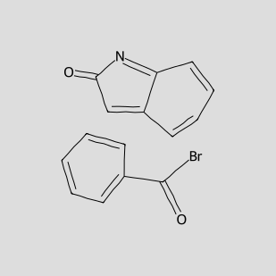 O=C(Br)c1ccccc1.O=C1C=c2ccccc2=N1